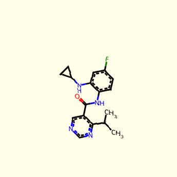 CC(C)c1ncncc1C(=O)Nc1ccc(F)cc1NC1CC1